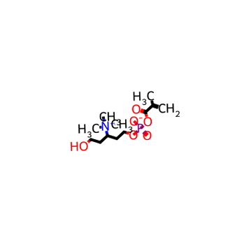 C=C(C)C(=O)OP(=O)([O-])OCCC(CCO)[N+](C)(C)C